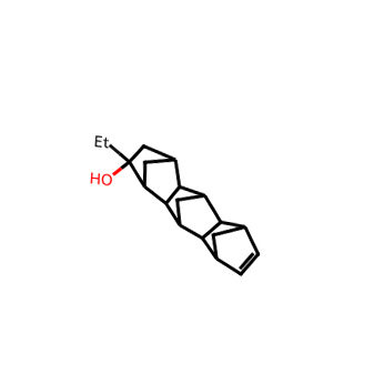 CCC1(O)CC2CC1C1C3CC(C4C5C=CC(C5)C34)C21